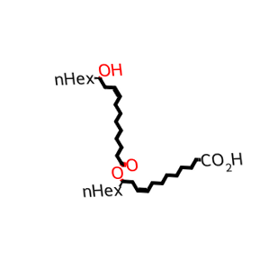 CCCCCC[C@@H](O)C/C=C\CCCCCCCC(=O)O[C@@H](C/C=C\CCCCCCCC(=O)O)CCCCCC